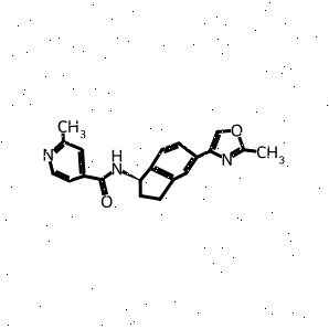 Cc1cc(C(=O)N[C@@H]2CCc3cc(-c4coc(C)n4)ccc32)ccn1